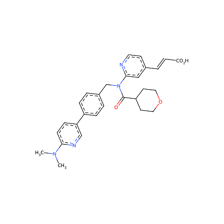 CN(C)c1ccc(-c2ccc(CN(C(=O)C3CCOCC3)c3cc(/C=C/C(=O)O)ccn3)cc2)cn1